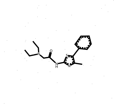 CCN(CC)CC(=O)Nc1nc(C)c(-c2ccccc2)s1